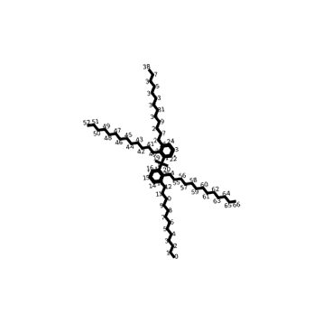 CCCCCCCCCCCCCc1cc[c]c(C(C)(C)c2[c]ccc(CCCCCCCCCCCCC)c2CCCCCCCCCCCCC)c1CCCCCCCCCCCCC